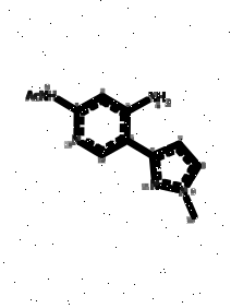 CC(=O)Nc1cc(N)c(-c2ccn(C)n2)cn1